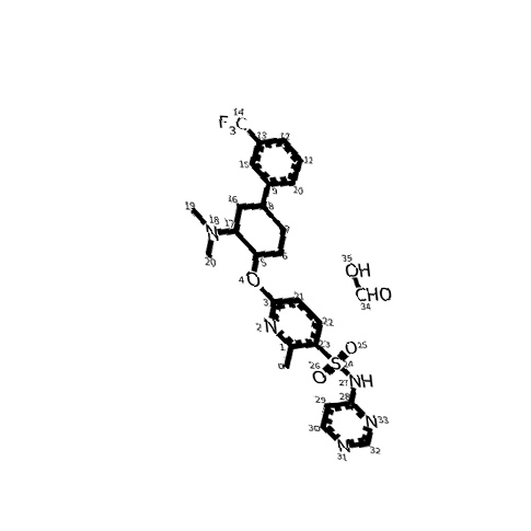 Cc1nc(OC2CCC(c3cccc(C(F)(F)F)c3)CC2N(C)C)ccc1S(=O)(=O)Nc1ccncn1.O=CO